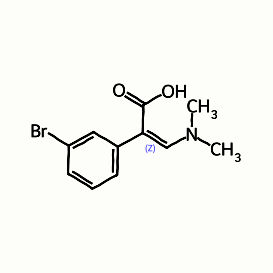 CN(C)/C=C(\C(=O)O)c1cccc(Br)c1